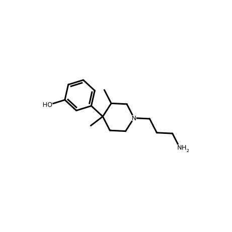 CC1CN(CCCN)CCC1(C)c1cccc(O)c1